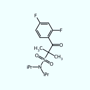 CC(C)N(C(C)C)S(=O)(=O)C(C)(C)C(=O)c1ccc(F)cc1F